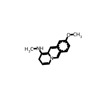 CNC1=C2C=c3cc(OC)ccc3=CN2C=CC1